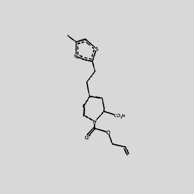 C=CCOC(=O)N1CCC(CCc2nc(C)cs2)CC1C(=O)O